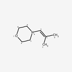 CC(C)=CN1CCOCC1